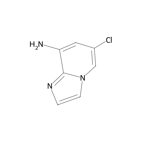 Nc1cc(Cl)cn2ccnc12